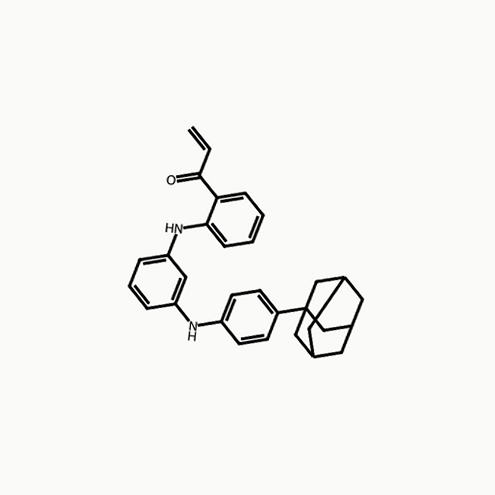 C=CC(=O)c1ccccc1Nc1cccc(Nc2ccc(C34CC5CC(CC(C5)C3)C4)cc2)c1